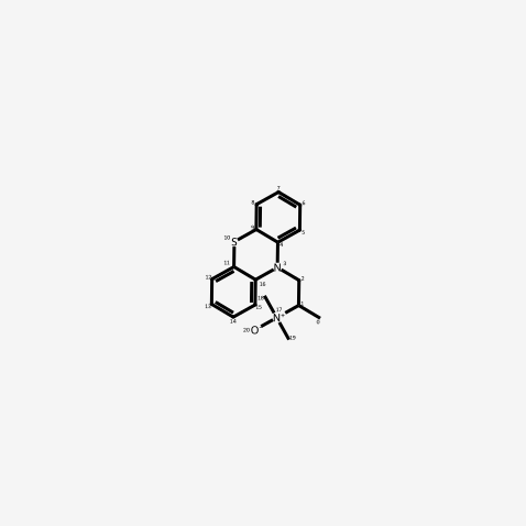 CC(CN1c2ccccc2Sc2ccccc21)[N+](C)(C)[O-]